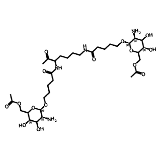 CC(=O)OCC1O[C@@H](OCCCCC(=O)NCCCCC(NC(=O)CCCCO[C@@H]2OC(COC(C)=O)[C@H](O)C(O)[C@@H]2N)C(C)=O)[C@@H](N)C(O)[C@H]1O